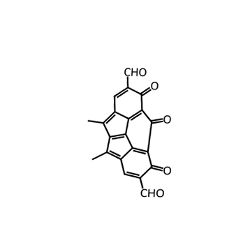 Cc1c2c(C)c3cc(C=O)c(=O)c4c(=O)c5c(=O)c(C=O)cc1c5c=2c34